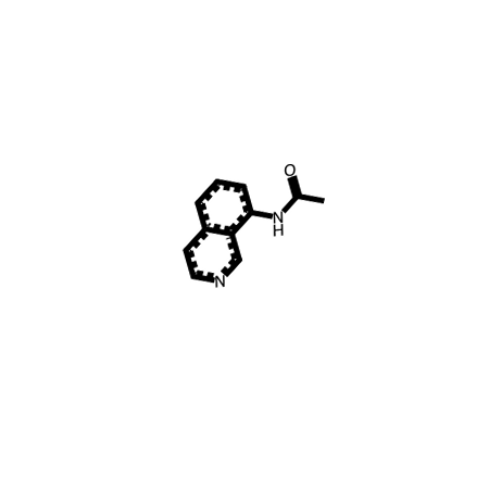 CC(=O)Nc1cccc2ccncc12